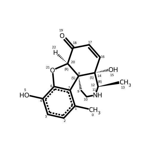 Cc1ccc(O)c2c1[C@]13CCN[C@H](C)[C@]1(O)C=CC(=O)[C@@H]3O2